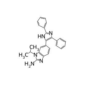 CC(C)n1c(N)nc2ccc(-c3[nH]c(-c4ccccc4)nc3-c3ccccc3)cc21